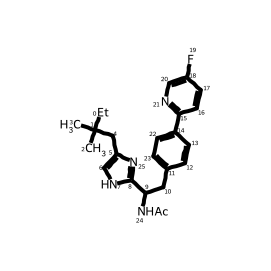 CCC(C)(C)Cc1c[nH]c(C(Cc2ccc(-c3ccc(F)cn3)cc2)NC(C)=O)n1